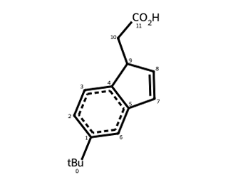 CC(C)(C)c1ccc2c(c1)C=CC2CC(=O)O